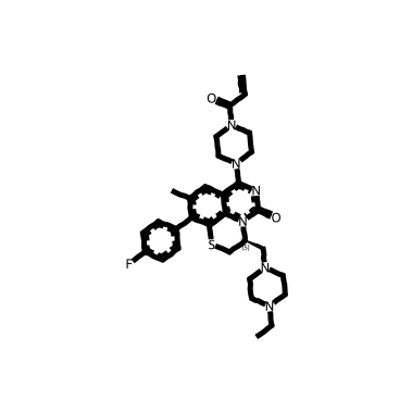 C=CC(=O)N1CCN(c2nc(=O)n3c4c(c(-c5ccc(F)cc5)c(C)cc24)SC[C@@H]3CN2CCN(CC)CC2)CC1